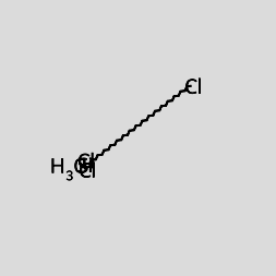 C[Si](Cl)(Cl)CCCCCCCCCCCCCCCCCCCCCCCCCCCCCCCCCl